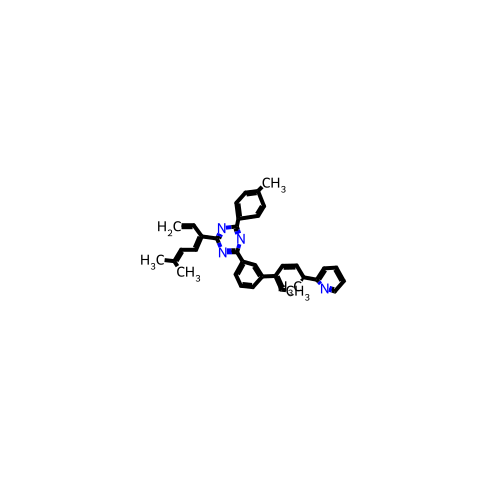 C=C/C(=C\C=C(C)C)c1nc(-c2ccc(C)cc2)nc(-c2cccc(C(/C=C\[C@H](C)c3ccccn3)=C/C)c2)n1